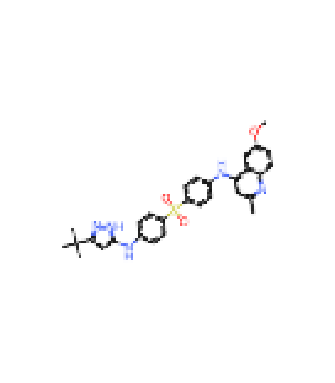 COc1ccc2nc(C)cc(Nc3ccc(S(=O)(=O)c4ccc(Nc5cc(C(C)(C)C)n[nH]5)cc4)cc3)c2c1